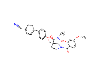 COc1ccc(C(=O)N2CCC(COc3ccc(-c4ccc(C#N)cc4)cc3)(C(=O)N(C)O)C2)cc1